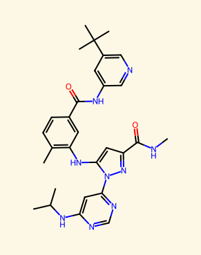 CNC(=O)c1cc(Nc2cc(C(=O)Nc3cncc(C(C)(C)C)c3)ccc2C)n(-c2cc(NC(C)C)ncn2)n1